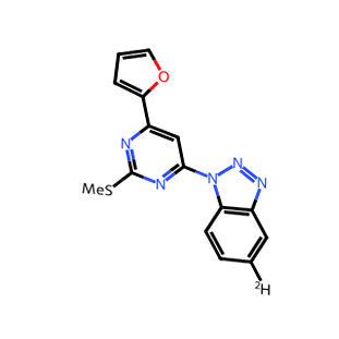 [2H]c1ccc2c(c1)nnn2-c1cc(-c2ccco2)nc(SC)n1